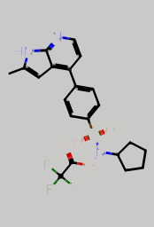 Cc1cc2c(-c3ccc(S(=O)(=O)N(OC(=O)C(F)(F)F)C4CCCC4)cc3)ccnc2[nH]1